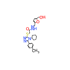 Cc1ccc(-c2nnc(SCC(=O)N/N=C/c3ccc(CO)o3)n2C2CCCCC2)cc1